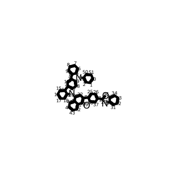 c1ccc(-n2c3ccccc3c3cc4c5ccccc5n(-c5cc6c7ccc(-c8nc9ccccc9o8)cc7oc6c6ccccc56)c4cc32)cc1